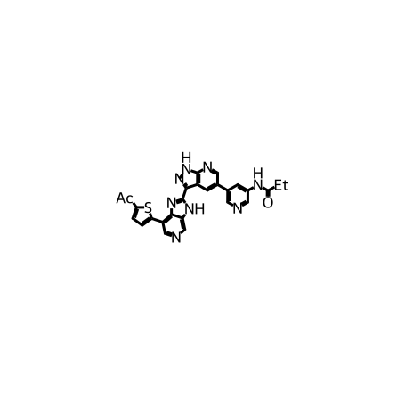 CCC(=O)Nc1cncc(-c2cnc3[nH]nc(-c4nc5c(-c6ccc(C(C)=O)s6)cncc5[nH]4)c3c2)c1